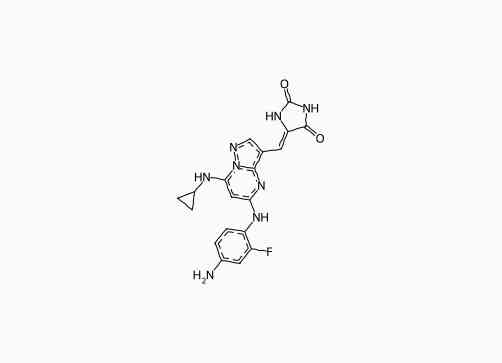 Nc1ccc(Nc2cc(NC3CC3)n3ncc(/C=C4\NC(=O)NC4=O)c3n2)c(F)c1